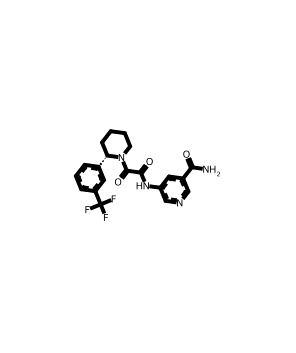 NC(=O)c1cncc(NC(=O)C(=O)N2CCCC[C@H]2c2cccc(C(F)(F)F)c2)c1